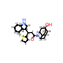 O=C(CC(c1cccs1)c1c[nH]c2cccc(F)c12)N1C2CC3CC1CC(O)(C3)C2